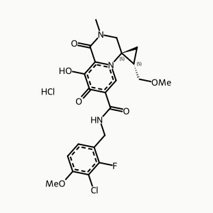 COC[C@H]1C[C@@]12CN(C)C(=O)c1c(O)c(=O)c(C(=O)NCc3ccc(OC)c(Cl)c3F)cn12.Cl